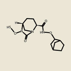 O=C(NOC1CC2CCC1C2)[C@@H]1CC[C@@H]2CN1C(=O)N2OS